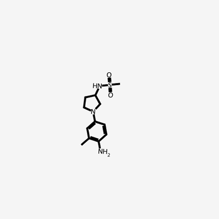 Cc1cc(N2CCC(NS(C)(=O)=O)C2)ccc1N